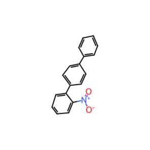 O=[N+]([O-])c1ccccc1-c1ccc(-c2ccccc2)cc1